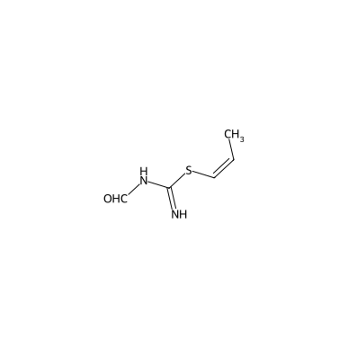 C/C=C\SC(=N)NC=O